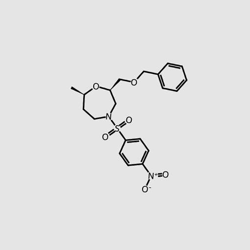 C[C@@H]1CCN(S(=O)(=O)c2ccc([N+](=O)[O-])cc2)C[C@H](COCc2ccccc2)O1